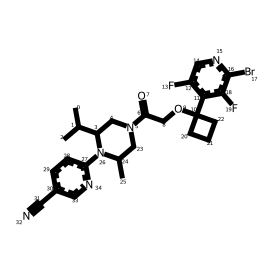 CC(C)C1CN(C(=O)COC2(c3c(F)cnc(Br)c3F)CCC2)CC(C)N1c1ccc(C#N)cn1